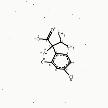 CC(C)C(C)(C(=O)O)c1ccc(Cl)cc1Cl